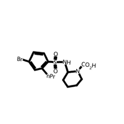 CCCc1cc(Br)ccc1S(=O)(=O)NC1CCCCN1C(=O)O